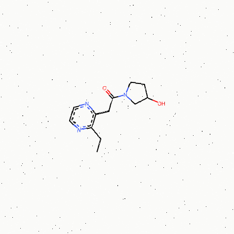 CCc1nccnc1CC(=O)N1CCC(O)C1